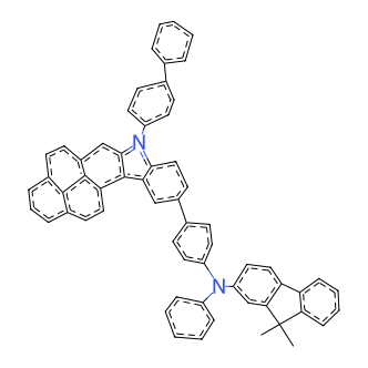 CC1(C)c2ccccc2-c2ccc(N(c3ccccc3)c3ccc(-c4ccc5c(c4)c4c6ccc7cccc8ccc(cc4n5-c4ccc(-c5ccccc5)cc4)c6c87)cc3)cc21